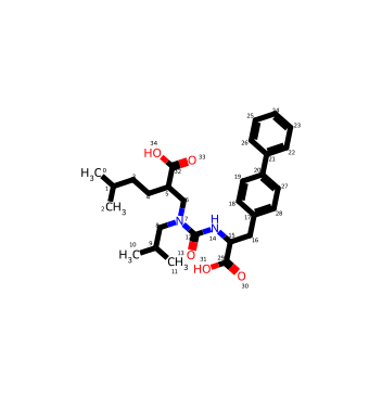 CC(C)CCC(CN(CC(C)C)C(=O)NC(Cc1ccc(-c2ccccc2)cc1)C(=O)O)C(=O)O